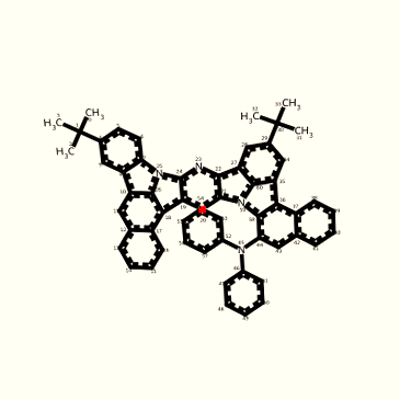 CC(C)(C)c1ccc2c(c1)c1cc3ccccc3c3c4nc5c(nc4n2c13)c1cc(C(C)(C)C)cc2c3c4ccccc4cc(N(c4ccccc4)c4ccccc4)c3n5c12